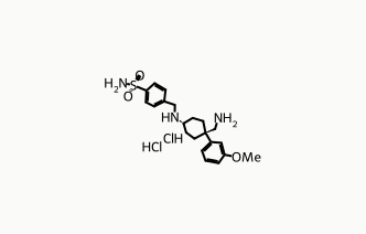 COc1cccc([C@]2(CN)CC[C@H](NCc3ccc(S(N)(=O)=O)cc3)CC2)c1.Cl.Cl